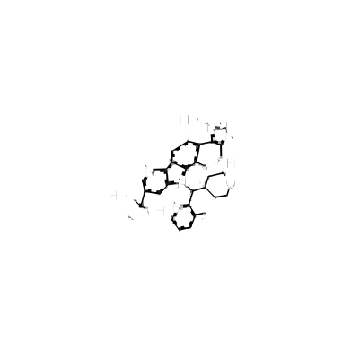 Cc1nnn(C)c1-c1ccc2c3ncc(C(C)(C)O)cc3n(C(c3ncccc3F)C3CCOCC3)c2c1F